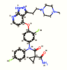 CN1CCN(CCc2n[nH]c3nccc(Oc4ccc(N(C(=O)C5(C(N)=O)CC5)c5ccc(F)cc5)cc4F)c23)CC1